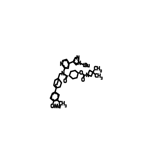 COc1ccc(C23CCC(CN(c4cc(-c5cnn(C(C)(C)C)c5)ccn4)C(=O)[C@H]4CC[C@H](OC(=O)N5CC(C)(C)C5)CC4)(CC2)CC3)cc1C